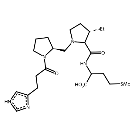 CC[C@H]1CCN(C[C@@H]2CCCN2C(=O)CCc2c[nH]cn2)C1C(=O)NC(CCSC)C(=O)O